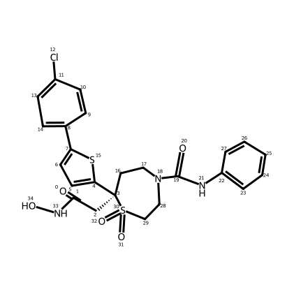 O=C(C[C@]1(c2ccc(-c3ccc(Cl)cc3)s2)CCN(C(=O)Nc2ccccc2)CCS1(=O)=O)NO